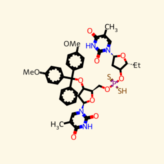 CC[C@H]1O[C@@H](n2cc(C)c(=O)[nH]c2=O)CC1OP(=S)(S)OC[C@H]1O[C@@H](n2cc(C)c(=O)[nH]c2=O)CC1OC(c1ccccc1)(c1ccc(OC)cc1)c1ccc(OC)cc1